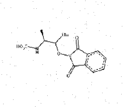 C[C@H](NC(=O)O)C(ON1C(=O)c2ccccc2C1=O)C(C)(C)C